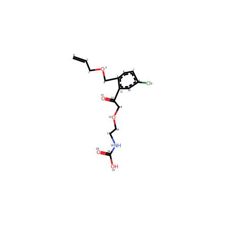 C=CCOCc1ccc(Cl)cc1C(=O)COCCNC(=O)O